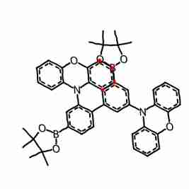 CC1(C)OB(c2cc(-c3ccc(B4OC(C)(C)C(C)(C)O4)cc3N3c4ccccc4Oc4ccccc43)cc(N3c4ccccc4Oc4ccccc43)c2)OC1(C)C